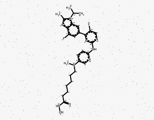 Cc1nc2c(F)cc(-c3nc(Nc4ccc(N(C)CCCCCCC(=O)NO)cn4)ncc3F)cc2n1C(C)C